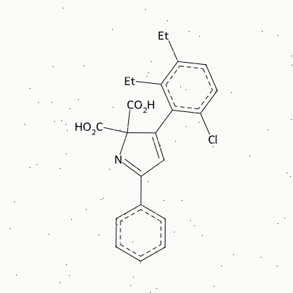 CCc1ccc(Cl)c(C2=CC(c3ccccc3)=NC2(C(=O)O)C(=O)O)c1CC